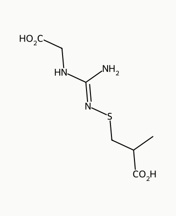 CC(CS/N=C(\N)NCC(=O)O)C(=O)O